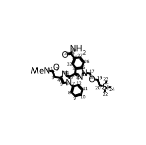 CNC(=O)Cc1cn(-c2ccccc2)c(-c2nn(COCC[Si](C)(C)C)c3ccc(C(N)=O)cc23)n1